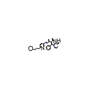 C=CC1=C(/C=C\C)C(c2ccccc2)=C(C(=C)/C=C/c2ccc(CCCC3CCCCC3)nc2)C(=C)N1